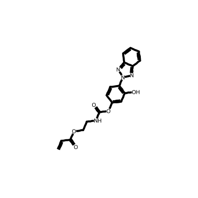 C=CC(=O)OCCNC(=O)Oc1ccc(-n2nc3ccccc3n2)c(O)c1